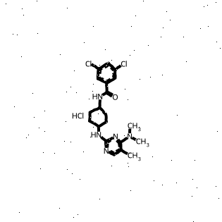 Cc1cnc(NC2CCC(NC(=O)c3cc(Cl)cc(Cl)c3)CC2)nc1N(C)C.Cl